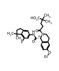 CCOc1ccc2c(c1)CCN(C(=O)CCC(C)(C)C(=O)O)[C@H]2C(=O)Nc1cc(F)c2c(c1)CCC2(C)C